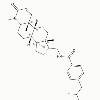 CC(C)Cc1ccc(C(=O)NCC2CC[C@H]3[C@@H]4CCC5N(C)C(=O)C=C[C@]5(C)[C@@H]4CC[C@]23C)cc1